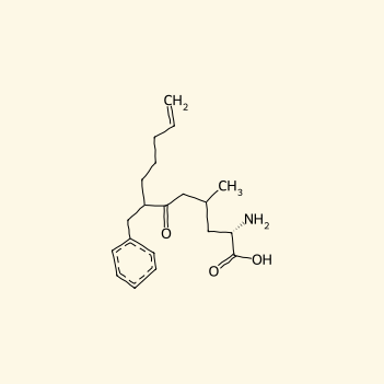 C=CCCCC(Cc1ccccc1)C(=O)CC(C)C[C@H](N)C(=O)O